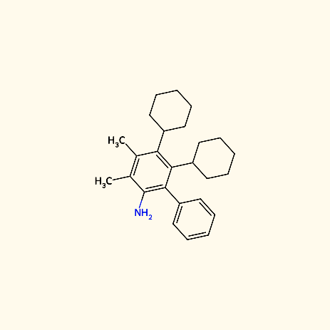 Cc1c(C)c(C2CCCCC2)c(C2CCCCC2)c(-c2ccccc2)c1N